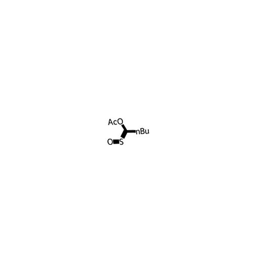 CCCCC(OC(C)=O)=S=O